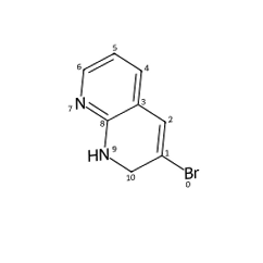 BrC1=Cc2cccnc2NC1